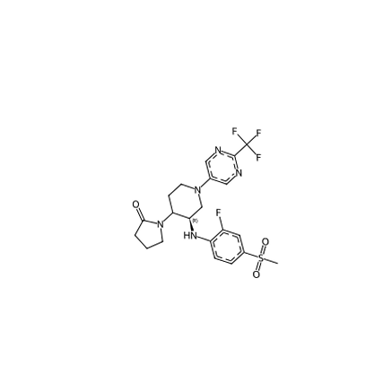 CS(=O)(=O)c1ccc(N[C@@H]2CN(c3cnc(C(F)(F)F)nc3)CCC2N2CCCC2=O)c(F)c1